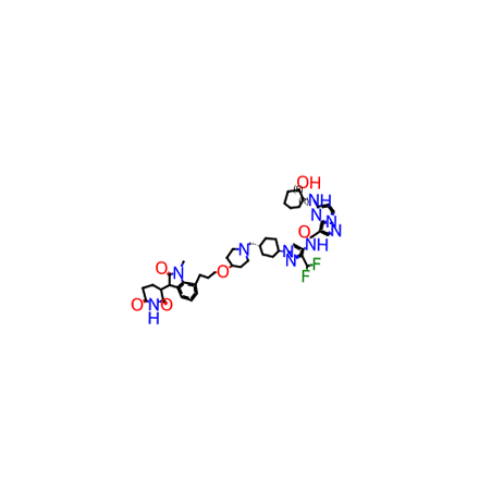 CN1C(=O)C(C2CCC(=O)NC2=O)c2cccc(CCCOC3CCN(C[C@H]4CC[C@H](n5cc(NC(=O)c6cnn7ccc(N[C@@H]8CCCC[C@@H]8O)nc67)c(C(F)F)n5)CC4)CC3)c21